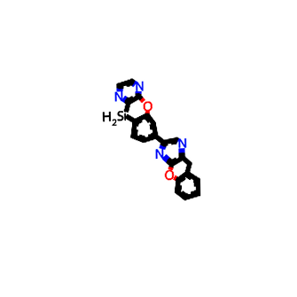 c1ccc2c(c1)Cc1ncc(-c3ccc4c(c3)Oc3nccnc3[SiH2]4)nc1O2